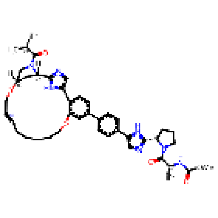 COC(=O)N[C@H](C(=O)N1CCC[C@H]1c1ncc(-c2ccc(-c3ccc4c(c3)OCCCCC/C=C/CO[C@H]3C[C@@H](c5ncc-4[nH]5)N(C(=O)[C@@H](C)C(C)C)C3)cc2)[nH]1)C(C)C